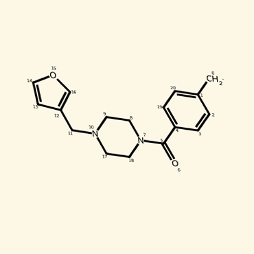 [CH2]c1ccc(C(=O)N2CCN(Cc3ccoc3)CC2)cc1